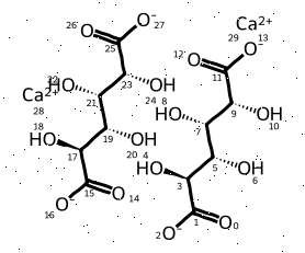 O=C([O-])[C@@H](O)[C@@H](O)[C@H](O)[C@@H](O)C(=O)[O-].O=C([O-])[C@@H](O)[C@@H](O)[C@H](O)[C@@H](O)C(=O)[O-].[Ca+2].[Ca+2]